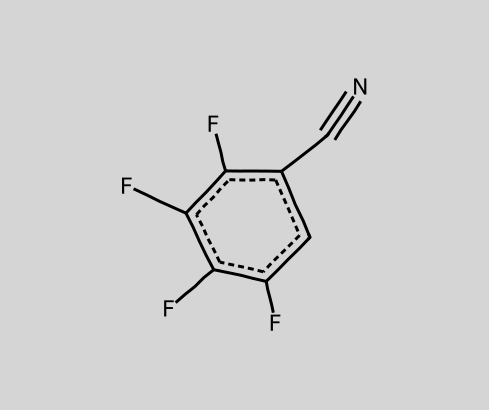 N#Cc1cc(F)c(F)c(F)c1F